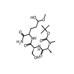 COC(O)CCC(NC(=O)[C@H](CO)NC(=O)[C@H](C)N(C)C(=O)OC(C)(C)C)C(N)=O